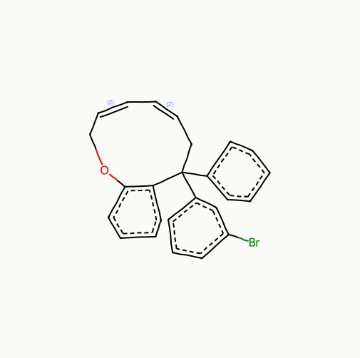 Brc1cccc(C2(c3ccccc3)C/C=C\C=C/COc3ccccc32)c1